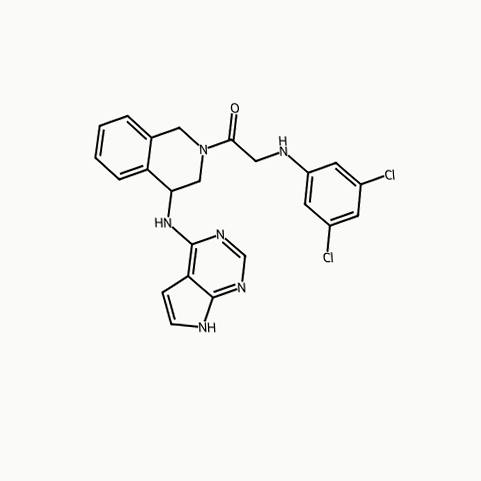 O=C(CNc1cc(Cl)cc(Cl)c1)N1Cc2ccccc2C(Nc2ncnc3[nH]ccc23)C1